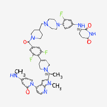 CNc1ccn(-c2ccnc3c2cc([C@H](C)N2CC=C(c4c(F)cc(C(=O)N5CCC(CN6CCN(c7ccc(N[C@H]8CCC(=O)NC8=O)cc7F)CC6)CC5)cc4F)CC2)n3C)c(=O)c1